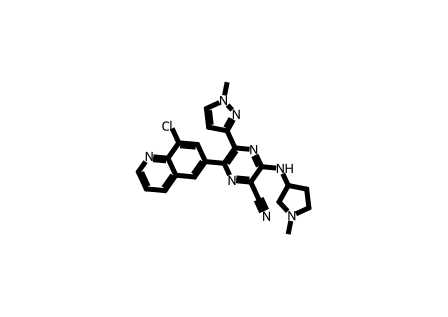 CN1CCC(Nc2nc(-c3ccn(C)n3)c(-c3cc(Cl)c4ncccc4c3)nc2C#N)C1